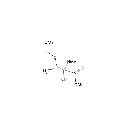 CNC(C)(C(=O)OC)[C@H](C)OCOC